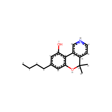 CCCCc1cc(O)c2c(c1)OC(C)(C)c1ccncc1-2